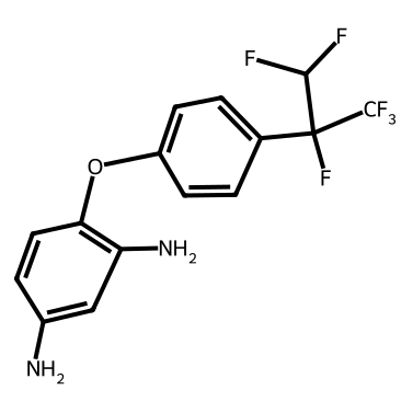 Nc1ccc(Oc2ccc(C(F)(C(F)F)C(F)(F)F)cc2)c(N)c1